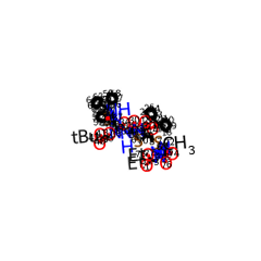 CCOC(Cn1nc(SC=CC2=C(C(=O)OC(c3ccccc3)c3ccccc3)N3C(=O)C(NC(=O)C(=NOCC(=O)OC(C)(C)C)c4csc(NC(c5ccccc5)(c5ccccc5)c5ccccc5)n4)C3SC2)n(C)c(=O)c1=O)OCC